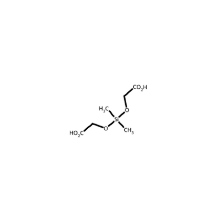 C[Si](C)(OCC(=O)O)OCC(=O)O